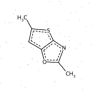 Cc1nc2sc(C)cc2o1